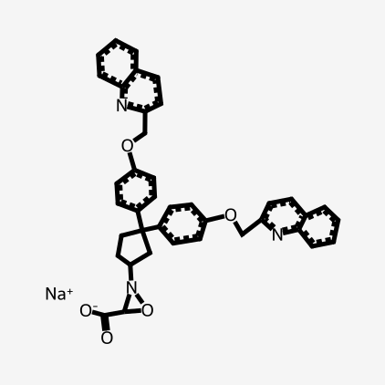 O=C([O-])C1ON1C1CCC(c2ccc(OCc3ccc4ccccc4n3)cc2)(c2ccc(OCc3ccc4ccccc4n3)cc2)C1.[Na+]